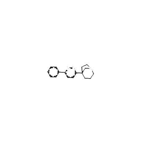 c1ccc(-c2ccc(C34CCCN(CC3)C4)nn2)cc1